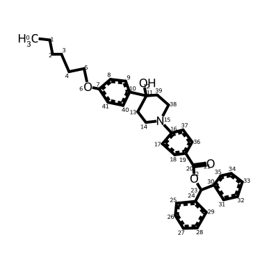 CCCCCCOc1ccc(C2(O)CCN(c3ccc(C(=O)OC(c4ccccc4)c4ccccc4)cc3)CC2)cc1